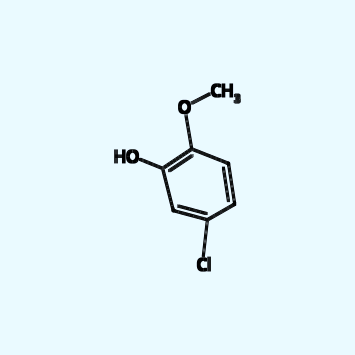 COc1ccc(Cl)cc1O